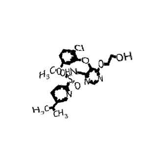 COc1ccc(Cl)c(Oc2c(NS(=O)(=O)c3ccc(C(C)C)cn3)ncnc2OCCO)c1